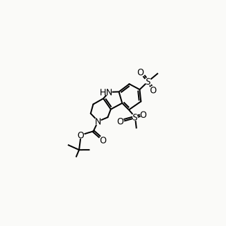 CC(C)(C)OC(=O)N1CCc2[nH]c3cc(S(C)(=O)=O)cc(S(C)(=O)=O)c3c2C1